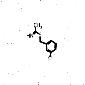 CC(=N)SCc1cccc(Cl)c1